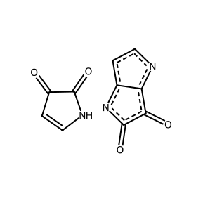 O=C1C=CNC1=O.O=c1nc2ccnc-2c1=O